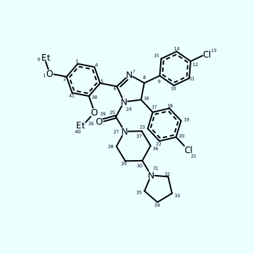 CCOc1ccc(C2=NC(c3ccc(Cl)cc3)C(c3ccc(Cl)cc3)N2C(=O)N2CCC(N3CCCC3)CC2)c(OCC)c1